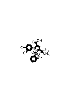 CC(C)(C)C1C=C(C(=O)O)[C@H](c2ccc(Cl)c(Cl)c2)N1S(=O)(=O)c1ccccc1Br